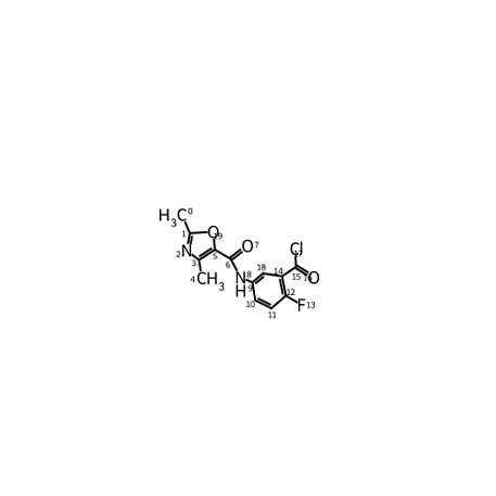 Cc1nc(C)c(C(=O)Nc2ccc(F)c(C(=O)Cl)c2)o1